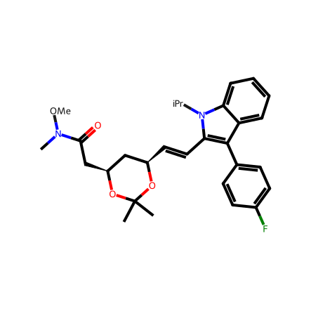 CON(C)C(=O)C[C@H]1C[C@@H](/C=C/c2c(-c3ccc(F)cc3)c3ccccc3n2C(C)C)OC(C)(C)O1